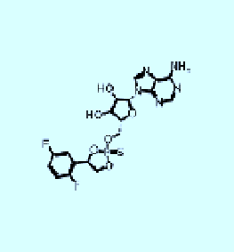 Nc1ncnc2c1ncn2[C@@H]1O[C@H](COP2(=S)OCC(c3cc(F)ccc3F)O2)[C@@H](O)[C@H]1O